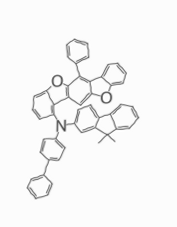 CC1(C)c2ccccc2-c2ccc(N(c3ccc(-c4ccccc4)cc3)c3cccc4oc5c(-c6ccccc6)c6c(cc5c34)oc3ccccc36)cc21